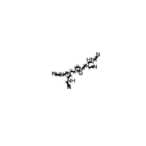 N#CCNCCN(CC#N)CCN1CCN(CCN(CCNCC#N)CCNCC#N)C1=O